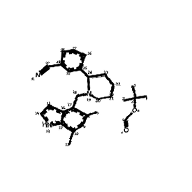 CC(C)(C)OC=O.Cc1cc(C)c2[nH]ccc2c1CN1CCCCC1c1cccc(C#N)c1